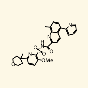 COc1ccc(C2(C)CCOCC2)nc1S(=O)(=O)NC(=O)c1ccc2c(-c3ccccn3)ccc(C)c2n1